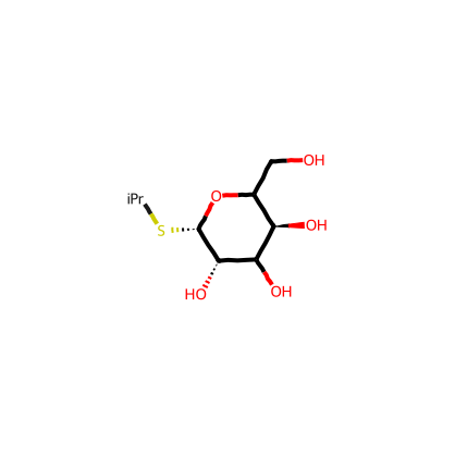 CC(C)S[C@@H]1OC(CO)[C@@H](O)C(O)[C@@H]1O